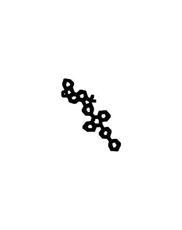 CC1(C)c2cc(-c3c4ccccc4c(-c4ccc(-c5ccccc5)cc4)c4ccccc34)ccc2-c2c1ccc1c2ccc2oc3c(c21)CCC=C3